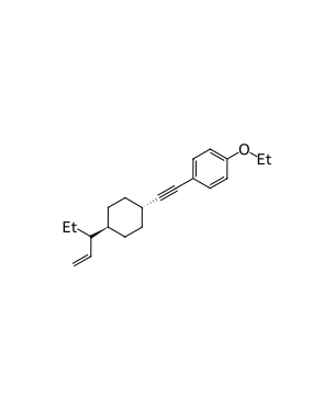 C=CC(CC)[C@H]1CC[C@H](C#Cc2ccc(OCC)cc2)CC1